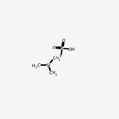 C[Si](C)C.O=S(=O)(O)F